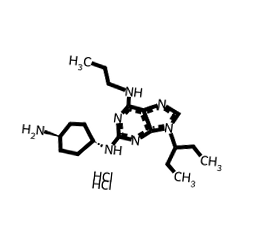 CCCNc1nc(N[C@H]2CC[C@H](N)CC2)nc2c1ncn2C(CC)CC.Cl.Cl